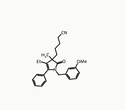 CCC1=C(c2ccccc2)N(Cc2cccc(OC)c2)C(=O)C1(C)CCCCC#N